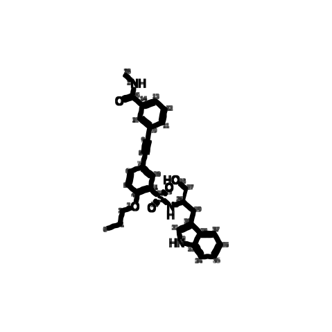 CCCOc1ccc(C#Cc2cccc(C(=O)NC)c2)cc1S(=O)(=O)N[C@@H](CO)Cc1c[nH]c2ccccc12